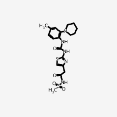 Cc1ccc(NC(=O)Nc2nc(CC(=O)NS(C)(=O)=O)cs2)c(N2CCCCC2)c1